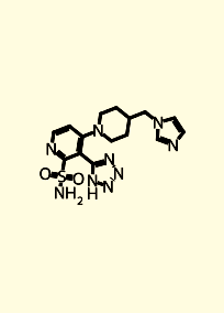 NS(=O)(=O)c1nccc(N2CCC(Cn3ccnc3)CC2)c1-c1nnn[nH]1